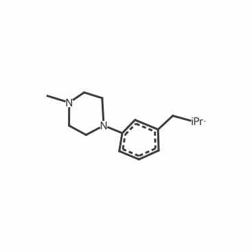 C[C](C)Cc1cccc(N2CCN(C)CC2)c1